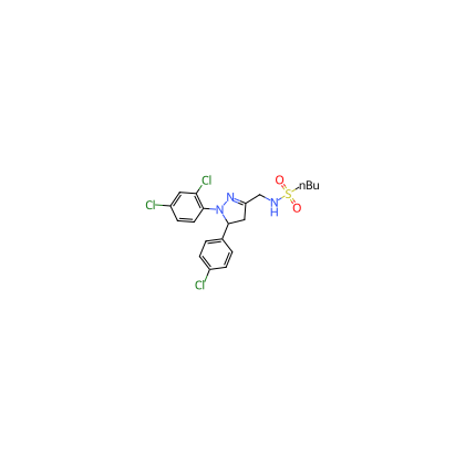 CCCCS(=O)(=O)NCC1=NN(c2ccc(Cl)cc2Cl)C(c2ccc(Cl)cc2)C1